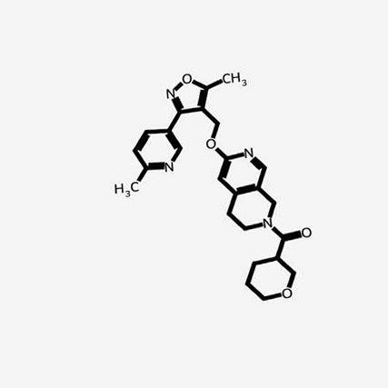 Cc1ccc(-c2noc(C)c2COc2cc3c(cn2)CN(C(=O)C2CCCOC2)CC3)cn1